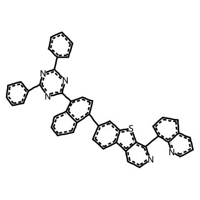 c1ccc(-c2nc(-c3ccccc3)nc(-c3ccc(-c4ccc5c(c4)sc4c(-c6cccc7cccnc67)nccc45)c4ccccc34)n2)cc1